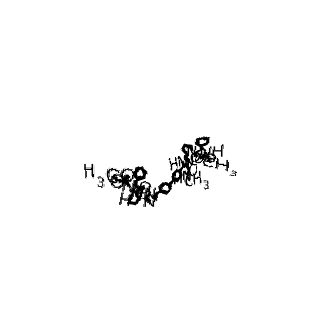 CNC(=O)c1nc(C2CCCN2C(=O)[C@H](NC(=O)OC)c2ccccc2)[nH]c1-c1ccc(-c2ccc(-c3cnc([C@@H]4CCCN4C(=O)[C@H](NC(=O)OC)c4ccccc4)[nH]3)cc2)cc1